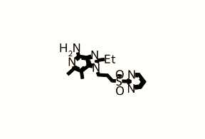 CCc1nc2c(N)nc(C)c(C)c2n1CCCS(=O)(=O)c1ncccn1